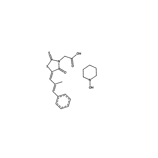 CC(=C\c1ccccc1)/C=C1/SC(=S)N(CC(=O)O)C1=O.ON1CCCCC1